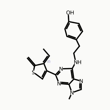 C=c1scc(-c2nc(NCCc3ccc(O)cc3)c3ncn(C)c3n2)/c1=C/C